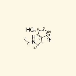 CCNC(C)Cc1ccccc1F.Cl